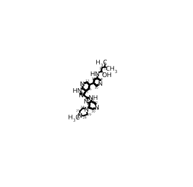 CC(C)CC(O)Nc1cncc(-c2cnc3[nH]nc(-c4nc5c(N6CCN(C)CC6)cncc5[nH]4)c3c2)c1